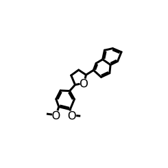 COc1ccc(C2CCC(c3ccc4ccccc4c3)O2)cc1OC